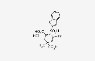 CC(C)C1=CC(C)(C(=O)O)CC(C(=O)O)=C1.Cl.O=S(=O)(O)c1cc2ccccc2s1